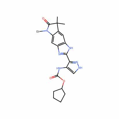 CCN1C(=O)C(C)(C)c2cc3[nH]c(-c4n[nH]cc4NC(=O)OC4CCCC4)nc3cc21